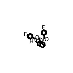 O=C(NC12CC3CC(C1)CC(NC(=O)c1ccc(F)cc1)(C3)C2)c1ccc(F)cc1